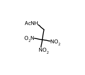 CC(=O)NCC([N+](=O)[O-])([N+](=O)[O-])[N+](=O)[O-]